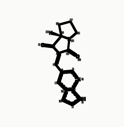 O=C1/C(=C/c2cnc3[nH]ccc3c2)C(=O)N2CCC[C@@H]12